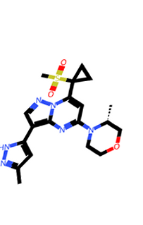 Cc1cc(-c2cnn3c(C4(S(C)(=O)=O)CC4)cc(N4CCOC[C@H]4C)nc23)[nH]n1